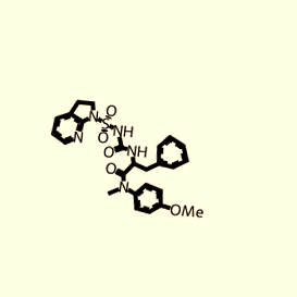 COc1ccc(N(C)C(=O)C(Cc2ccccc2)NC(=O)NS(=O)(=O)N2CCc3cccnc32)cc1